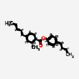 CCCCC[C@H]1CC[C@@H](C(=O)Oc2ccc(CCCC)cc2)[C@H](C)C1